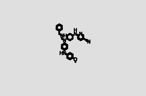 COc1ccc(Nc2ccc(N(CNCc3ccccc3)[C@H]3CC[C@H](Nc4ccc(C#N)cn4)CC3)cc2)cc1